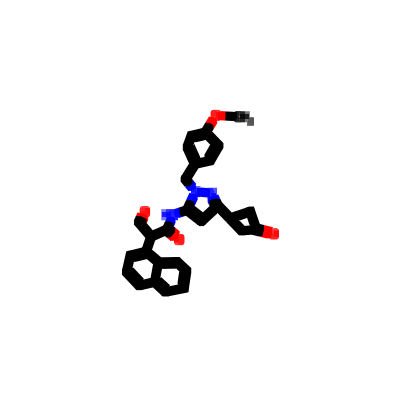 COc1ccc(Cn2nc(C3CC(=O)C3)cc2NC(=O)C(C=O)c2cccc3ccccc23)cc1